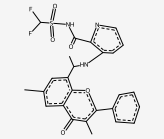 Cc1cc(C(C)Nc2cccnc2C(=O)NS(=O)(=O)C(F)F)c2oc(-c3ccccc3)c(C)c(=O)c2c1